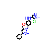 N=C(/C=C1/COc2cc(Nc3cn[nH]c3Cl)ccc2CN1)C1C=CC=CC1